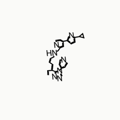 C=C/C(=C\C=C/CNCc1cc(-c2ccc(C3CC3)nc2)ccn1)c1nncn1-c1ccncc1